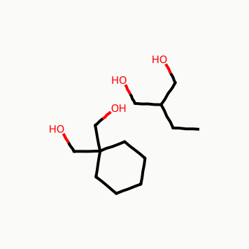 CCC(CO)CO.OCC1(CO)CCCCC1